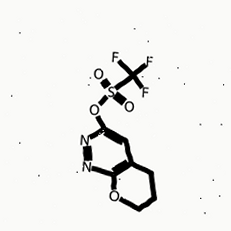 O=S(=O)(Oc1cc2c(nn1)OCCC2)C(F)(F)F